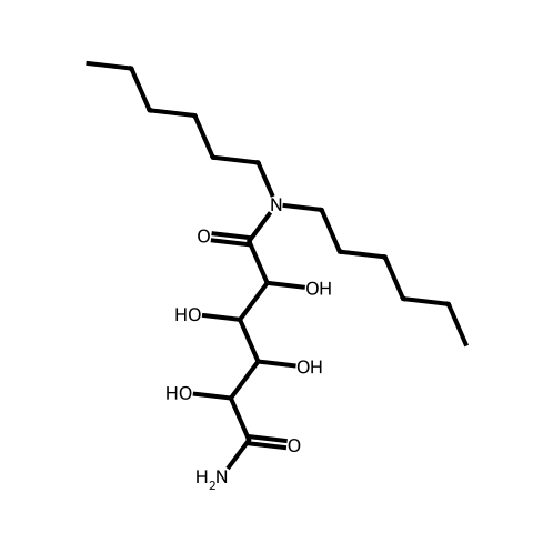 CCCCCCN(CCCCCC)C(=O)C(O)C(O)C(O)C(O)C(N)=O